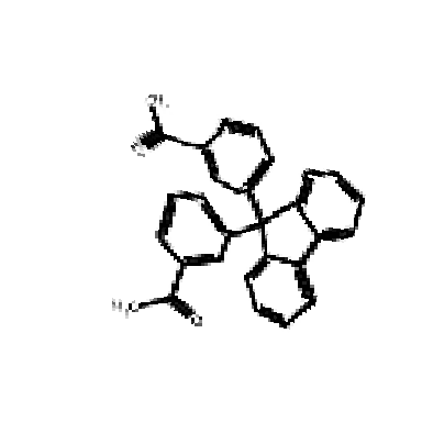 CC(=O)c1cccc(C2(c3cccc(C(C)=O)c3)c3ccccc3-c3ccccc32)c1